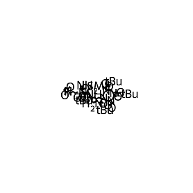 CSCC[C@H](NC(=O)c1cccc(CC(C(N)=O)N2CCN(CC(=O)OC(C)(C)C)CCN(CC(=O)OC(C)(C)C)CCN(CC(=O)OC(C)(C)C)CC2)c1)C(=O)N(C(=O)CN)[C@@H](CCCCN1C(=O)C=CC1=O)C(=O)OC(C)(C)C